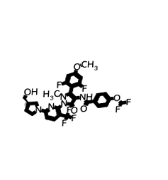 COc1cc(F)c(-c2c(NC(=O)c3ccc(OC(F)F)cc3)c(=O)n(-c3nc(N4CC[C@@H](CO)C4)ccc3C(F)(F)F)n2C)c(F)c1